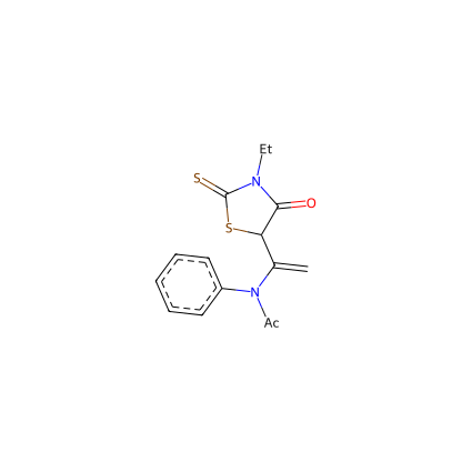 C=C(C1SC(=S)N(CC)C1=O)N(C(C)=O)c1ccccc1